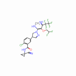 CN/C(=C(/OCC(F)F)C(=N)C(F)(F)C(F)(F)F)N1CC(c2ccc(Cl)c(C(=O)NC3(C#N)CC3)c2)C=N1